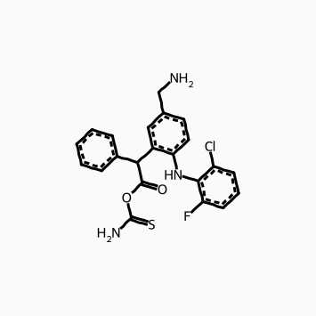 NCc1ccc(Nc2c(F)cccc2Cl)c(C(C(=O)OC(N)=S)c2ccccc2)c1